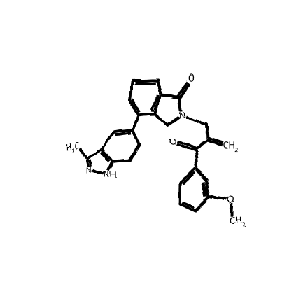 C=C(CN1Cc2c(cccc2C2=Cc3c(C)n[nH]c3CC2)C1=O)C(=O)c1cccc(OC)c1